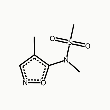 Cc1cnoc1N(C)S(C)(=O)=O